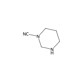 N#CN1CCCNC1